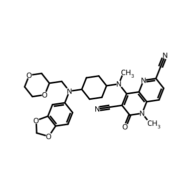 CN(c1c(C#N)c(=O)n(C)c2ccc(C#N)nc12)C1CCC(N(CC2COCCO2)c2ccc3c(c2)OCO3)CC1